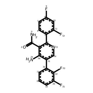 NC(=O)c1c(-c2ccc(F)cc2F)ncc(-c2cccc(F)c2F)c1N